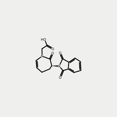 O=C(O)CN1C=CCC[C@H](N2C(=O)c3ccccc3C2=O)C1=O